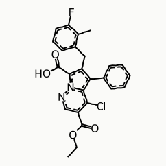 CCOC(=O)c1cnn2c(C(=O)O)c(Cc3cccc(F)c3C)c(-c3ccccc3)c2c1Cl